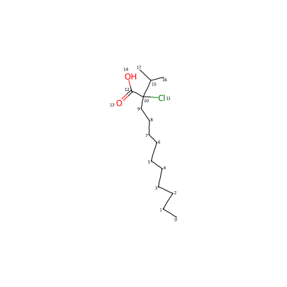 CCCCCCCCCCC(Cl)(C(=O)O)C(C)C